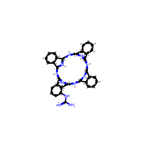 N=C(N)Nc1cccc2c3nc4nc(nc5[nH]c(nc6nc(nc([nH]3)c12)-c1ccccc1-6)c1ccccc51)-c1ccccc1-4